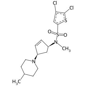 CC1CCN([C@H]2C=C[C@@H](N(C)S(=O)(=O)c3cc(Cl)c(Cl)s3)C2)CC1